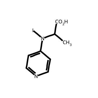 CC(C(=O)O)N(I)c1ccncc1